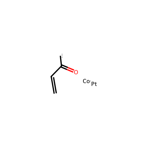 [C]C(=O)C=C.[Co].[Pt]